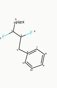 CCCCCCC(F)C(F)Cc1ccccc1